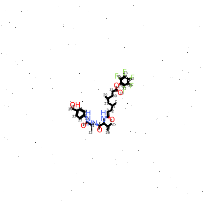 CC(CCC(=O)NC(C(=O)N[C@@H](C)C(=O)Nc1ccc(CO)cc1)C(C)C)CC(C)CCC(=O)Oc1c(F)c(F)c(F)c(F)c1F